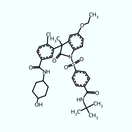 CCOc1ccc2c(c1)C(C)(c1cc(C(=O)NC3CCC(O)CC3)ccc1Cl)C(=O)N2S(=O)(=O)c1ccc(C(=O)NC(C)(C)C)cc1